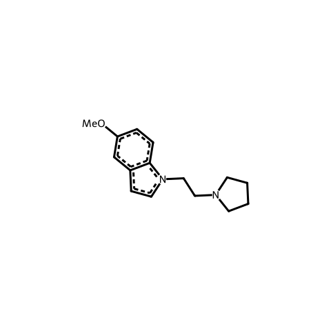 COc1ccc2c(ccn2CCN2CCCC2)c1